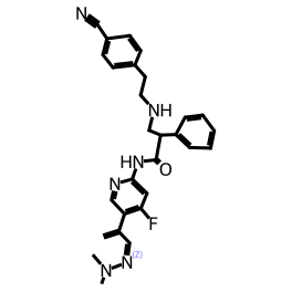 C=C(/C=N\N(C)C)c1cnc(NC(=O)C(CNCCc2ccc(C#N)cc2)c2ccccc2)cc1F